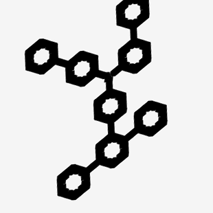 c1ccc(-c2ccc(N(c3ccc(-c4cc(-c5ccccc5)ccc4-c4ccccc4)cc3)c3cccc(-c4ccccc4)c3)cc2)cc1